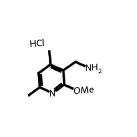 COc1nc(C)cc(C)c1CN.Cl